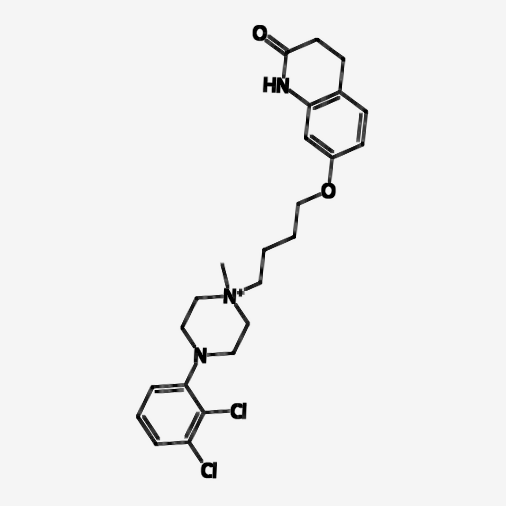 C[N+]1(CCCCOc2ccc3c(c2)NC(=O)CC3)CCN(c2cccc(Cl)c2Cl)CC1